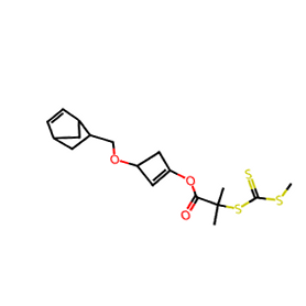 CSC(=S)SC(C)(C)C(=O)OC1=CC(OCC2CC3C=CC2C3)C1